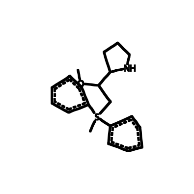 COC(CS(C)(c1ccccc1)c1ccccc1)C1CCCN1